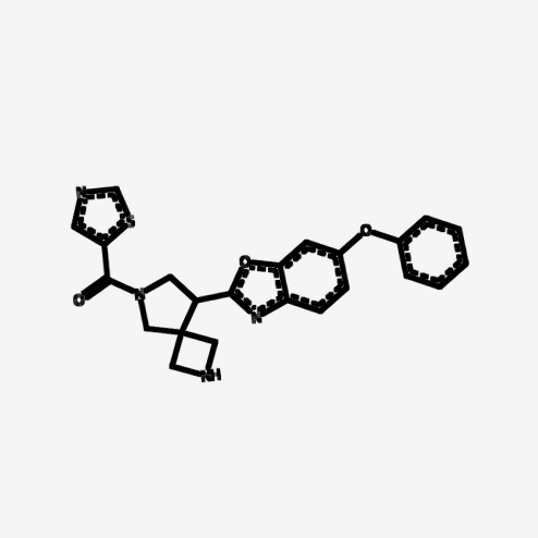 O=C(c1cncs1)N1CC(c2nc3ccc(Oc4ccccc4)cc3o2)C2(CNC2)C1